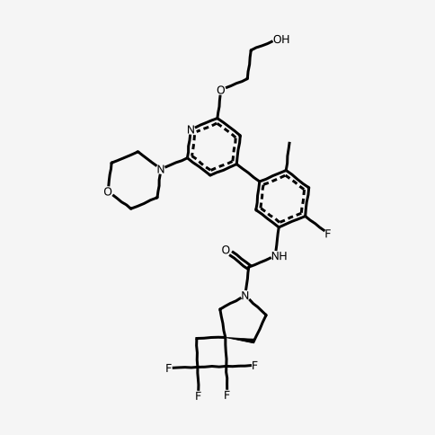 Cc1cc(F)c(NC(=O)N2CC[C@]3(C2)CC(F)(F)C3(F)F)cc1-c1cc(OCCO)nc(N2CCOCC2)c1